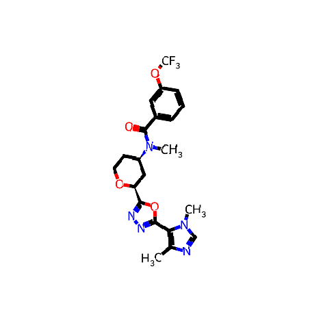 Cc1ncn(C)c1-c1nnc([C@@H]2C[C@H](N(C)C(=O)c3cccc(OC(F)(F)F)c3)CCO2)o1